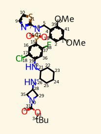 COc1ccc(CN(c2nccs2)S(=O)(=O)c2cc(Cl)c(N[C@H]3CCCC[C@@H]3NC3CN(C(=O)OC(C)(C)C)C3)cc2F)c(OC)c1